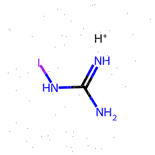 N=C(N)NI.[H+]